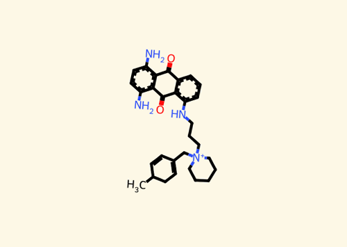 CC1C=CC(C[N+]2(CCCNc3cccc4c3C(=O)c3c(N)ccc(N)c3C4=O)CCCCC2)=CC1